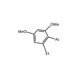 CCc1cc(OC)cc(OC)c1C(C)=O